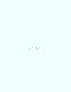 COC1=C(OC)C(=O)C(Cc2ccc(O)c(C(=O)Nc3ccc(Cl)cc3)c2)=C(C)C1=O